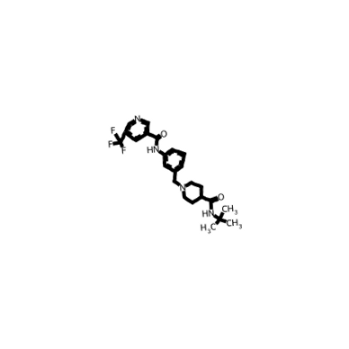 CC(C)(C)NC(=O)C1CCN(Cc2cccc(NC(=O)c3cncc(C(F)(F)F)c3)c2)CC1